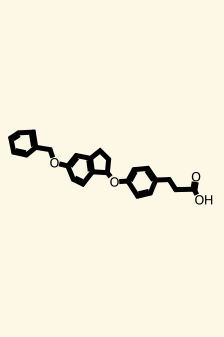 O=C(O)CCc1ccc(OC2CCc3cc(OCc4ccccc4)ccc32)cc1